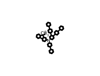 CC1(CI)c2ccccc2-c2ccc(N(c3ccc(-c4ccccc4)cc3)c3ccc(-c4ccc(-c5ccccc5)cc4)c(-c4ccc(-c5ccccc5)cc4)c3)cc21